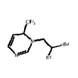 CCCCC(CC)CN1C=NC=CC1C